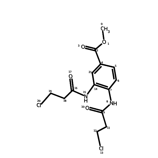 COC(=O)c1ccc(NC(=O)CCCl)c(NC(=O)CCCl)c1